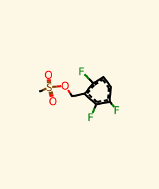 CS(=O)(=O)OCc1c(F)ccc(F)c1F